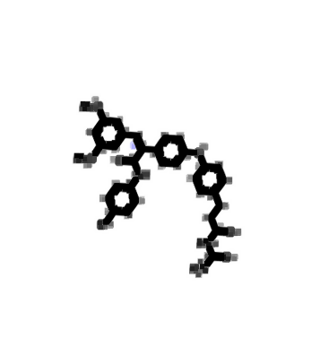 COc1cc(/C=C(\C(=O)Nc2ccc(Cl)cc2)c2ccc(Oc3ccc(CCC(=O)NC(N)=O)cc3)cc2)cc(OC)c1